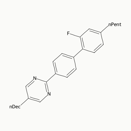 CCCCCCCCCCc1cnc(-c2ccc(-c3ccc(CCCCC)cc3F)cc2)nc1